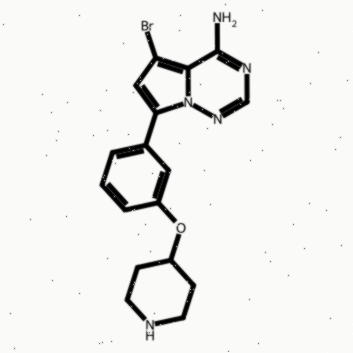 Nc1ncnn2c(-c3cccc(OC4CCNCC4)c3)cc(Br)c12